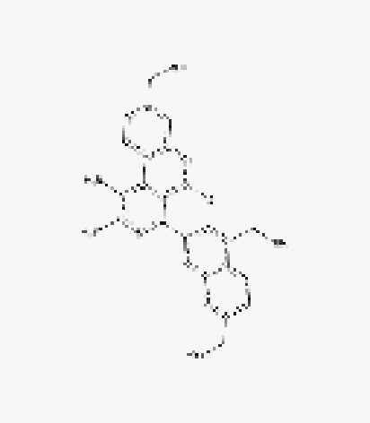 Bc1nc2c3c(cc4cc(CC(C)(C)C)ccc4c3c1B)Sc1c-2cc2cc(CC(C)(C)C)ccc2c1CC(C)(C)C